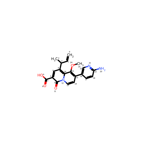 C=CC(C)c1cc(C(=O)O)c(=O)n2ccc(-c3ccc(N)nc3)c(OC)c12